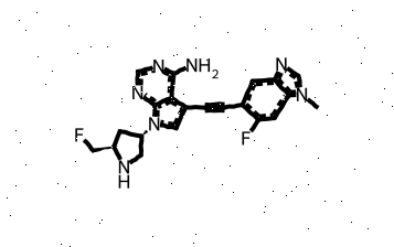 Cn1cnc2cc(C#Cc3cn([C@@H]4CN[C@@H](CF)C4)c4ncnc(N)c34)c(F)cc21